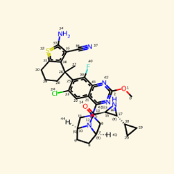 COc1nc(N2C[C@H]3CC[C@@H](C2)N3C(=O)[C@H]2N[C@@H]2C2CC2)c2cc(Cl)c(C3(C)CCCc4sc(N)c(C#N)c43)c(F)c2n1